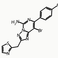 Nc1nc(-c2ccc(F)cc2)c(Br)c2nc(Cc3nccs3)nn12